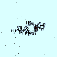 Nc1ncnc2c1ncn2[C@@H]1O[C@@H]2COP(=O)(S)O[C@@H]3[C@H](O)[C@H](C[C@H]3n3cnc4c3N=CCC4=O)OP(=O)(S)O[C@H]2[C@H]1F